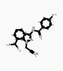 C#CCn1nc(NC(=O)c2ccc(F)cc2)c2cccc(C(F)F)c21